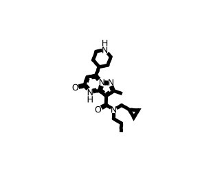 CCCN(CC1CC1)C(=O)c1c(C)nn2c(C3CCNCC3)cc(=O)[nH]c12